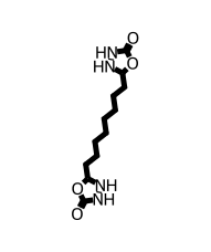 O=C1NNC(CCCCCCCCC2NNC(=O)O2)O1